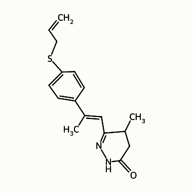 C=CCSc1ccc(C(C)=CC2=NNC(=O)CC2C)cc1